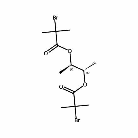 C[C@H](OC(=O)C(C)(C)Br)[C@@H](C)OC(=O)C(C)(C)Br